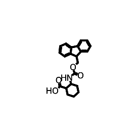 O=C(NC1CCCCC1C(=O)O)OCC1c2ccccc2-c2ccccc21